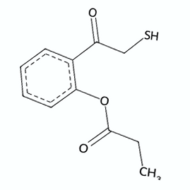 CCC(=O)Oc1ccccc1C(=O)CS